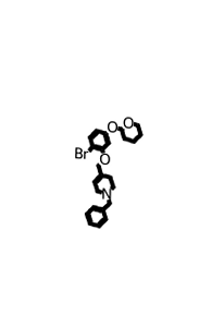 Brc1ccc(OC2CCCCO2)cc1OCC1=CCN(Cc2ccccc2)CC1